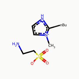 CCCCc1[nH]cc[n+]1C.NCCS(=O)(=O)[O-]